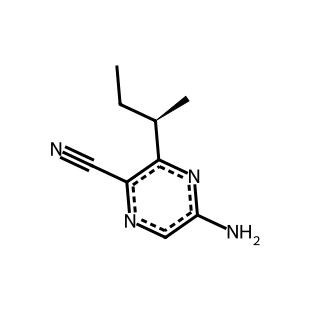 CC[C@@H](C)c1nc(N)cnc1C#N